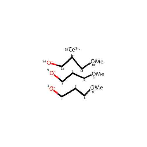 COCCC[O-].COCCC[O-].COCCC[O-].[Ce+3]